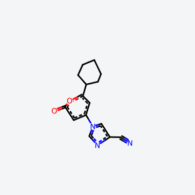 N#Cc1cn(-c2cc(C3CCCCC3)oc(=O)c2)cn1